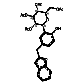 CC(=O)OC[C@H]1O[C@@H](c2cc(Cc3cc4ccccc4o3)ccc2O)[C@H](OC(C)=O)[C@@H](OC(C)=O)[C@@H]1OC(C)=O